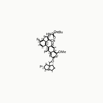 COc1nc(OC[C@@]23CCCN2C[C@H](F)C3)nc2c(F)c(-c3ccc(F)c4sc(NC(=O)OC(C)(C)C)c(C#N)c34)c(Cl)cc12